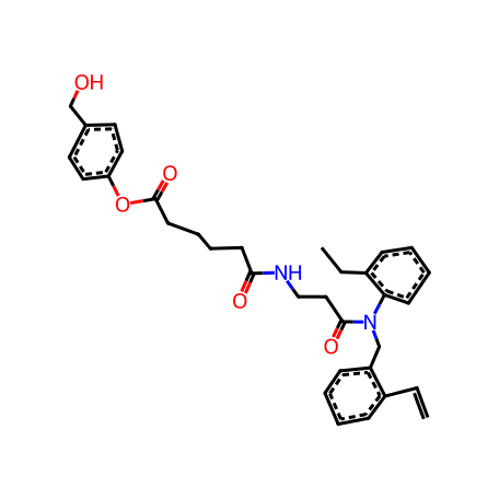 C=Cc1ccccc1CN(C(=O)CCNC(=O)CCCCC(=O)Oc1ccc(CO)cc1)c1ccccc1CC